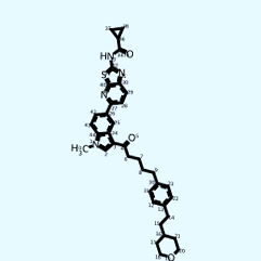 Cn1cc(C(=O)CCCCc2ccc(CCC3CCOCC3)cc2)c2cc(-c3ccc4nc(NC(=O)C5CC5)sc4n3)ccc21